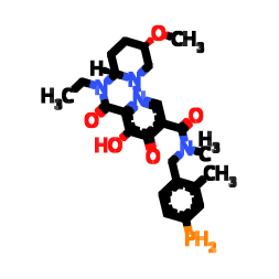 CCN1C(=O)c2c(O)c(=O)c(C(=O)N(C)Cc3ccc(P)cc3C)cn2N2C[C@H](OC)CC[C@@H]12